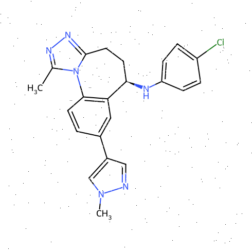 Cc1nnc2n1-c1ccc(-c3cnn(C)c3)cc1[C@H](Nc1ccc(Cl)cc1)CC2